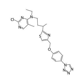 CCN(CCC(C)c1nc(COc2ccc(-n3cnnn3)cc2)cs1)c1nc(Cl)ncc1C